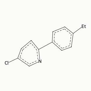 CCc1ccc(-c2ccc(Cl)cn2)cc1